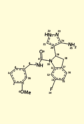 COc1cccc(CNC(=O)N2c3cc(F)ccc3CC2c2c[nH]nc2N)c1